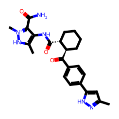 Cc1cc(-c2ccc(C(=O)[C@@H]3CCCC[C@H]3C(=O)Nc3c(C)[nH][n+](C)c3C(N)=O)cc2)[nH]n1